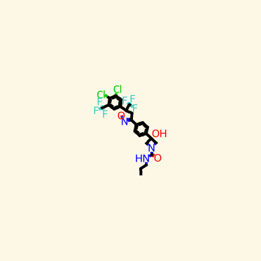 CCCNC(=O)N1CC(O)(c2ccc(C3=NOC(c4cc(Cl)c(Cl)c(C(F)(F)F)c4)(C(F)(F)F)C3)cc2)C1